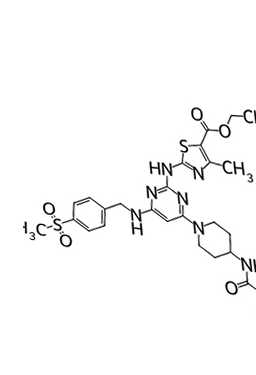 CCOC(=O)c1sc(Nc2nc(NCc3ccc(S(C)(=O)=O)cc3)cc(N3CCC(NC(=O)COC)CC3)n2)nc1C